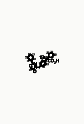 CC(C)(C)C(C(=O)O)(c1ccc(CN2N=C(c3ccccc3)OCC2=O)cc1)C1CCCC1